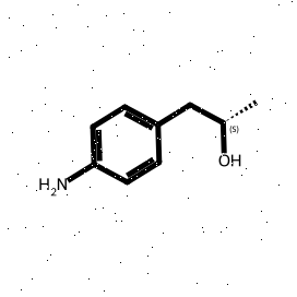 C[C@H](O)Cc1ccc(N)cc1